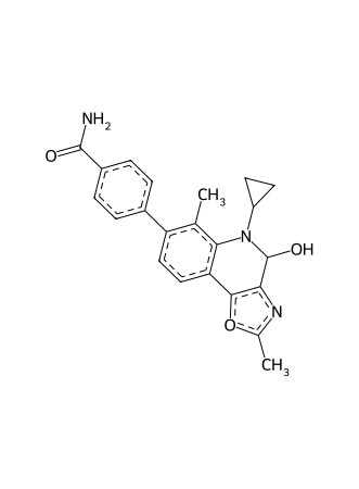 Cc1nc2c(o1)-c1ccc(-c3ccc(C(N)=O)cc3)c(C)c1N(C1CC1)C2O